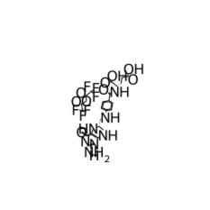 Nc1nc(=O)c2c([nH]1)NC[C@@H](CNc1ccc(C(=O)N[C@@H](CCC(=O)O)C(=O)O)cc1)N2.O=C(OC(=O)C(F)(F)F)C(F)(F)F